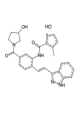 Cc1ccsc1C(=O)Nc1cc(C(=O)N2CCC(O)C2)ccc1C=Cc1n[nH]c2ccccc12.Cl